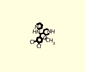 COc1cc(Cl)c(Cl)cc1C(Nc1ccccn1)C1CCNCC1